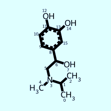 CC(C)N(C)CC(O)c1ccc(O)c(O)c1